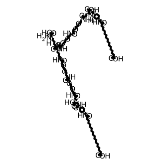 O=C(O)CCCCCCCCCCCCCCCCCCC(=O)NC[C@H]1CC[C@H](C(=O)N[C@@H](CCC(=O)NCCOCCOCC(=O)NCCOCCOCC(=O)NCCCC[C@H](NC(=O)COCCOCCNC(=O)COCCOCCNC(=O)CC[C@H](NC(=O)[C@H]2CC[C@H](CNC(=O)CCCCCCCCCCCCCCCCC(=O)O)CC2)C(=O)O)C(=O)NCCCC[C@H](NP)C(=O)O)C(=O)O)CC1